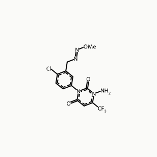 CON=NCc1cc(-n2c(=O)cc(C(F)(F)F)n(N)c2=O)ccc1Cl